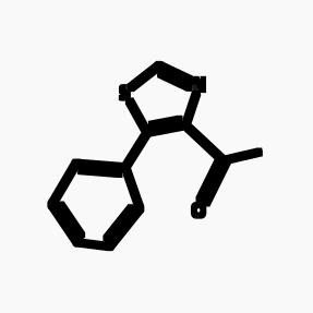 CC(=O)c1ncsc1-c1ccccc1